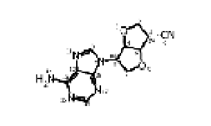 N#C[C@H]1COC2C1OC[C@H]2n1cnc2c(N)ncnc21